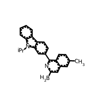 Bc1cc2cc(C)ccc2c(-c2ccc3c4ccccc4n(C(C)C)c3c2)n1